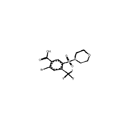 O=C(O)c1cc(S(=O)(=O)N2CCOCC2)c(C(F)(F)F)cc1Br